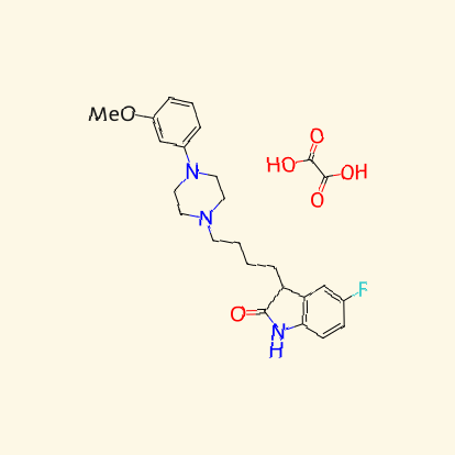 COc1cccc(N2CCN(CCCCC3C(=O)Nc4ccc(F)cc43)CC2)c1.O=C(O)C(=O)O